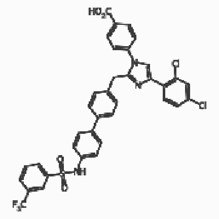 O=C(O)c1ccc(-n2cc(-c3ccc(Cl)cc3Cl)nc2Cc2ccc(-c3ccc(NS(=O)(=O)c4cccc(C(F)(F)F)c4)cc3)cc2)cc1